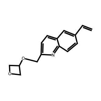 C=Cc1ccc2nc(COC3COC3)ccc2c1